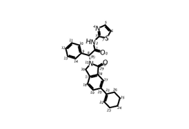 O=C(Nc1nccs1)[C@@H](c1ccccc1)N1Cc2ccc(C3=CCCCC3)cc2C1=O